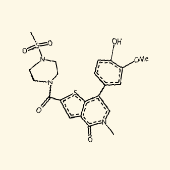 COc1cc(-c2cn(C)c(=O)c3cc(C(=O)N4CCN(S(C)(=O)=O)CC4)sc23)ccc1O